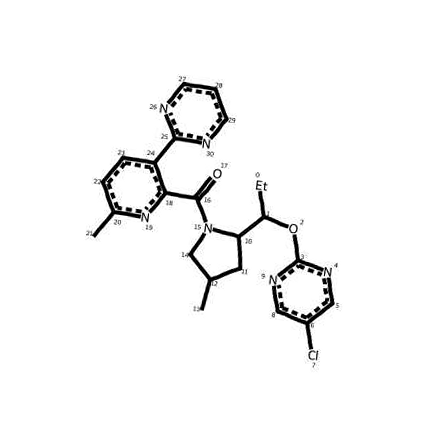 CCC(Oc1ncc(Cl)cn1)C1CC(C)CN1C(=O)c1nc(C)ccc1-c1ncccn1